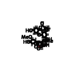 COc1cc2c(cc1O)Oc1c3cc(OC)c(O)c1-c1cccc4c1C(=O)OC234.O=C1OC2(c3ccc(O)cc3Oc3cc(O)ccc32)c2ccccc21